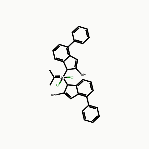 CCCC1=Cc2c(-c3ccccc3)cccc2[CH]1[Zr]([Cl])([Cl])(=[C](C)C)[CH]1C(CCC)=Cc2c(-c3ccccc3)cccc21